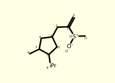 C=C(CC1CC(C)C(C(C)C)C1)[S+](C)[O-]